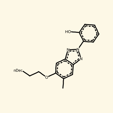 CCCCCCCCCCCCOc1cc2nn(-c3ccccc3O)nc2cc1C